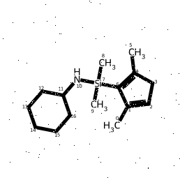 CC1=CCC(C)=C1[Si](C)(C)NC1CCCCC1